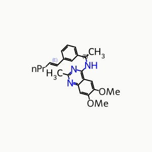 CCC/C=C/c1cccc([C@@H](C)Nc2nc(C)nc3cc(OC)c(OC)cc23)c1